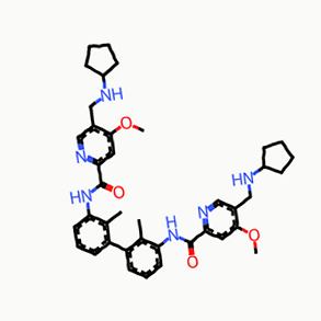 COc1cc(C(=O)Nc2cccc(-c3cccc(NC(=O)c4cc(OC)c(CNC5CCCC5)cn4)c3C)c2C)ncc1CNC1CCCC1